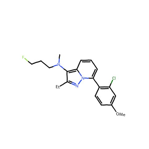 CCc1nn2c(-c3ccc(OC)cc3Cl)cccc2c1N(C)CCCF